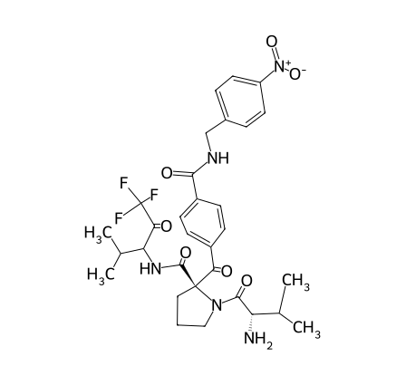 CC(C)C(NC(=O)[C@]1(C(=O)c2ccc(C(=O)NCc3ccc([N+](=O)[O-])cc3)cc2)CCCN1C(=O)[C@@H](N)C(C)C)C(=O)C(F)(F)F